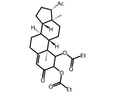 CCC(=O)OC1C(=O)C=C2CC[C@H]3[C@@H]4CC[C@H](C(C)=O)[C@@]4(C)CC[C@@H]3[C@@]2(C)C1OC(=O)CC